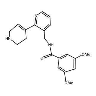 COc1cc(OC)cc(C(=O)NCc2cccnc2C2=CCNCC2)c1